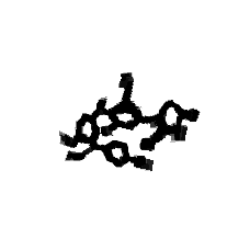 CC(C)(C)c1ccc(C(O)c2cc(Oc3c(Cl)cc(N4CC(=O)NC4=O)cc3Cl)ccc2O)cc1